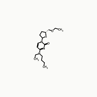 CCCCN(CC)c1ccn(C2CC[C@H](COCC)S2)c(=O)n1